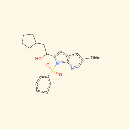 COc1cnc2c(c1)cc(C(O)CC1CCCC1)n2S(=O)(=O)c1ccccc1